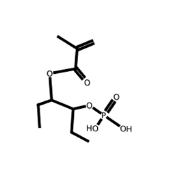 C=C(C)C(=O)OC(CC)C(CC)OP(=O)(O)O